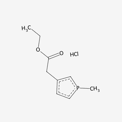 CCOC(=O)Cc1ccp(C)c1.Cl